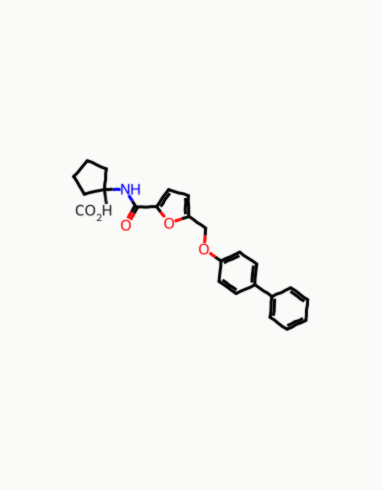 O=C(NC1(C(=O)O)CCCC1)c1ccc(COc2ccc(-c3ccccc3)cc2)o1